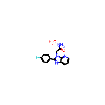 NC(=O)Cn1c(-c2ccc(F)cc2)nc2cccnc21.O